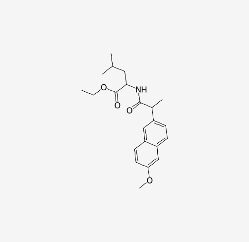 CCOC(=O)C(CC(C)C)NC(=O)C(C)c1ccc2cc(OC)ccc2c1